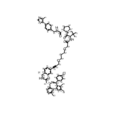 Cc1ncsc1-c1ccc(CNC(=O)[C@@H]2CCCN2C(=O)C(NC(=O)COCCCOCC#Cc2ccc([C@@H](C)NC(=O)C[C@@H]3N=C(c4ccc(Cl)cc4)c4c(sc(C)c4C)-n4c(C)nnc43)cc2)C(C)(C)C)cc1